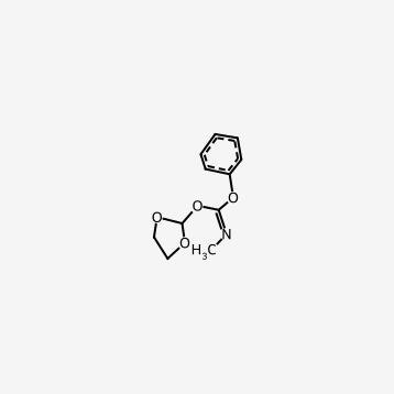 CN=C(Oc1ccccc1)OC1OCCO1